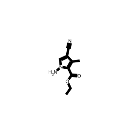 CCOC(=O)c1c(C)c(C#N)cn1N